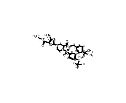 CCOC(=O)c1sc(N2CCN(S(=O)(=O)c3ccc(OC(F)(F)F)cc3)C(C(=O)NCc3ccc(C(C)(C)C)cc3)C2)nc1N